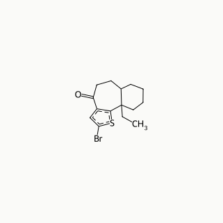 CCC12CCCCC1CCC(=O)c1cc(Br)sc12